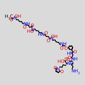 CC(=O)N(O)CCCCCNC(=O)CCC(=O)N(O)CCCCCNC(=O)CCC(=O)N(O)CCCCCNC(=O)COc1cccc(C(=O)NCC(=O)N[C@@H](CCCCN)C(=O)N[C@@H](CCCCN2C(=O)C=CC2=O)C(=O)O)c1